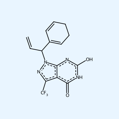 C=CC(C1=CCCC=C1)n1nc(C(F)(F)F)c2c(=O)[nH]c(O)nc21